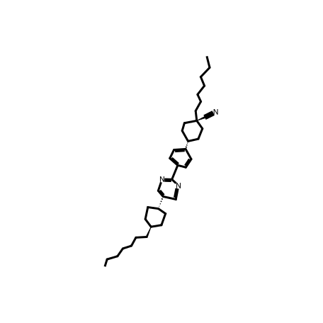 CCCCCCC[C@H]1CC[C@H](c2cnc(-c3ccc([C@H]4CC[C@@](C#N)(CCCCCCC)CC4)cc3)nc2)CC1